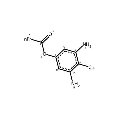 CCCC(=O)Oc1cc(N)c(Cl)c(N)c1